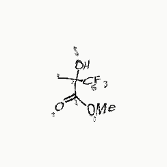 COC(=O)[C@](C)(O)C(F)(F)F